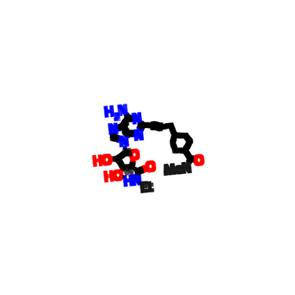 CCNC(=O)[C@H]1O[C@@H](n2cnc3c(N)nc(C#CCC4CCC(C(=O)NC)CC4)nc32)C(O)C1O